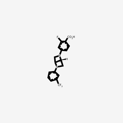 O=C(O)c1ccc(N2CC3[C@H]2CN3c2cccc(C(F)(F)F)c2)cc1F